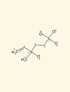 C=C[Si](C)(Cl)CCS(Cl)(Cl)Cl